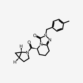 Cc1ccc(Cn2nc3n(c2=O)[C@H](C(=O)N2CC[C@@H]4C[C@@H]42)CCC3)cc1